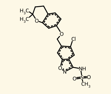 CC1(C)CCc2ccc(OCc3cc4onc(NS(C)(=O)=O)c4cc3Cl)cc2O1